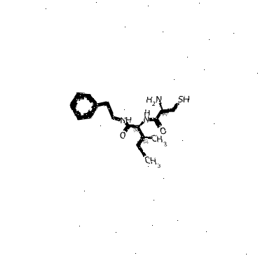 CC[C@H](C)[C@H](NC(=O)[C@@H](N)CS)C(=O)NCCc1ccccc1